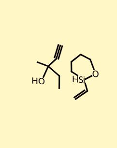 C#CC(C)(O)CC.C=C[SiH]1CCCCO1